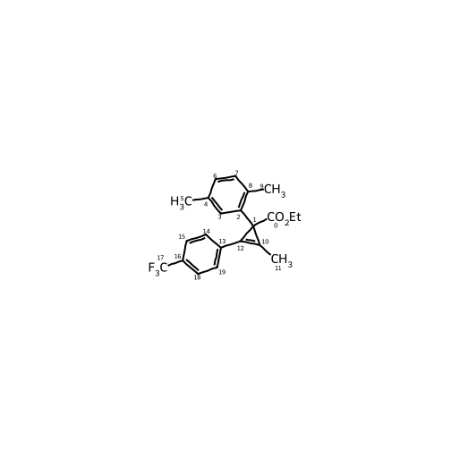 CCOC(=O)C1(c2cc(C)ccc2C)C(C)=C1c1ccc(C(F)(F)F)cc1